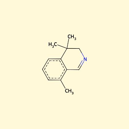 Cc1cccc2c1C=NCC2(C)C